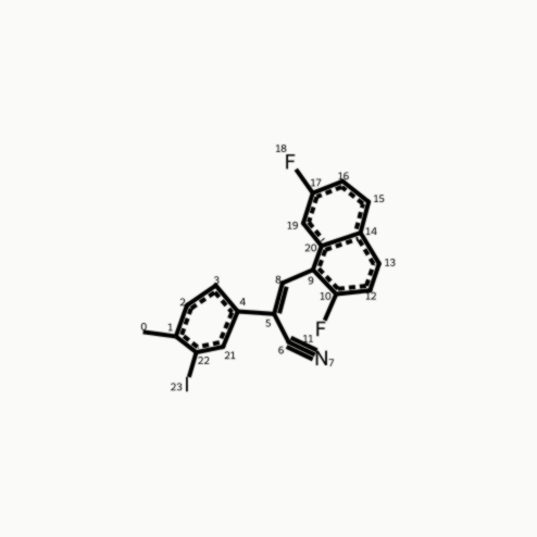 Cc1ccc(/C(C#N)=C/c2c(F)ccc3ccc(F)cc23)cc1I